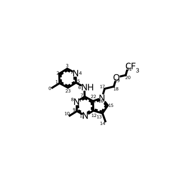 Cc1ccnc(Nc2nc(C)nc3c(C)cn(CCOCC(F)(F)F)c23)c1